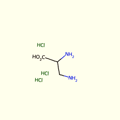 Cl.Cl.Cl.NCC(N)C(=O)O